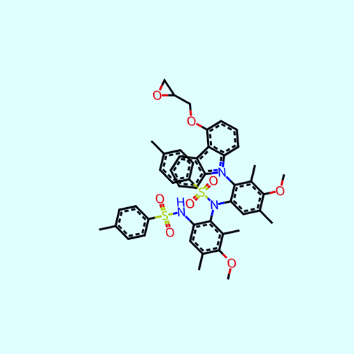 COc1c(C)cc(NS(=O)(=O)c2ccc(C)cc2)c(N(c2cc(C)c(OC)c(C)c2-n2c3ccccc3c3c(OCC4CO4)cccc32)S(=O)(=O)c2ccc(C)cc2)c1C